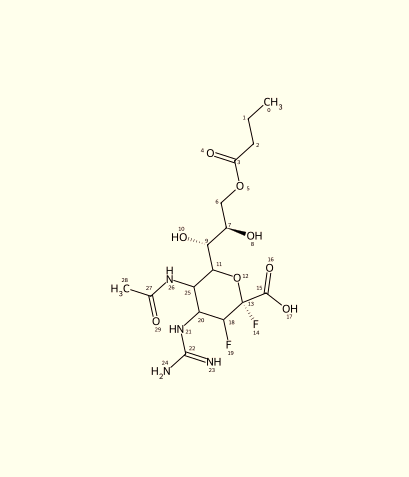 CCCC(=O)OC[C@@H](O)[C@@H](O)C1O[C@@](F)(C(=O)O)C(F)C(NC(=N)N)C1NC(C)=O